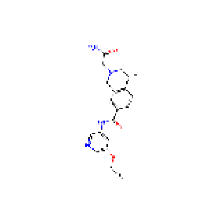 C[C@H]1CN(CC(N)=O)Cc2cc(C(=O)Nc3cncc(OCC(F)(F)F)c3)ccc21